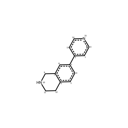 c1cc(-c2ccc3c(c2)CNCC3)ccn1